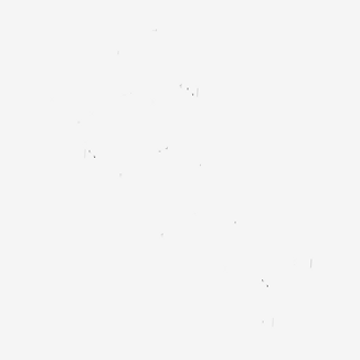 CN(C)CCc1ccc2[nH]c(=O)c3c(c2c1)NCCC3